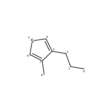 CCCc1cs[c]c1C